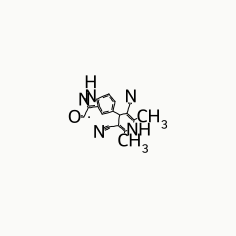 CC1=C(C#N)C(c2ccc3[nH]nc([C]=O)c3c2)C(C#N)=C(C)N1